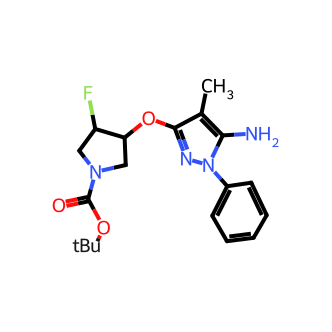 Cc1c(OC2CN(C(=O)OC(C)(C)C)CC2F)nn(-c2ccccc2)c1N